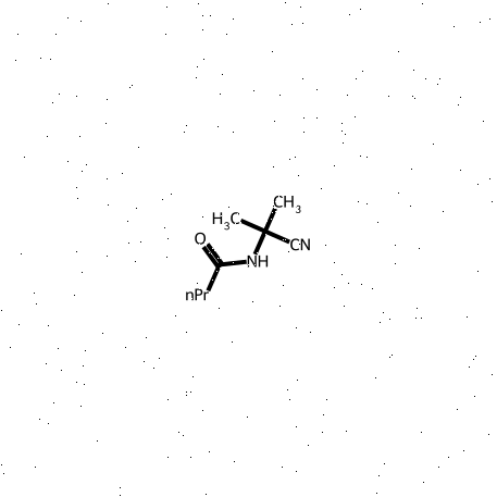 CCCC(=O)NC(C)(C)C#N